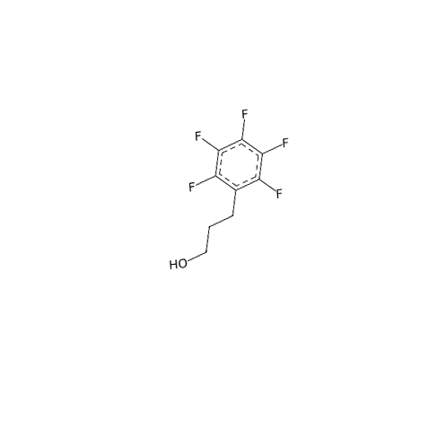 OCCCc1c(F)c(F)c(F)c(F)c1F